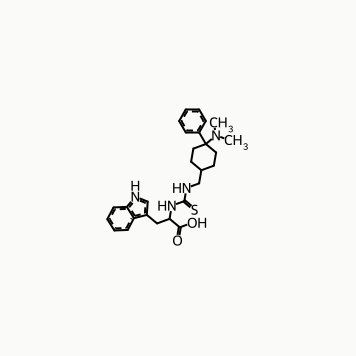 CN(C)C1(c2ccccc2)CCC(CNC(=S)NC(Cc2c[nH]c3ccccc23)C(=O)O)CC1